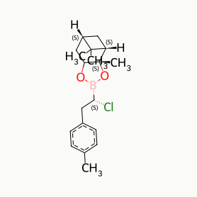 Cc1ccc(C[C@@H](Cl)B2OC3C[C@@H]4C[C@@H](C4(C)C)[C@]3(C)O2)cc1